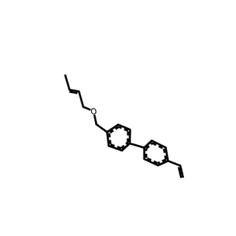 C=Cc1ccc(-c2ccc(COC/C=C/C)cc2)cc1